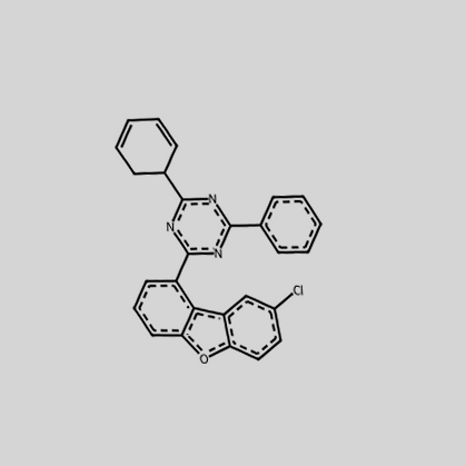 Clc1ccc2oc3cccc(-c4nc(-c5ccccc5)nc(C5C=CC=CC5)n4)c3c2c1